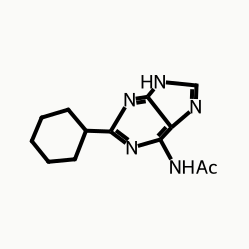 CC(=O)Nc1nc(C2CCCCC2)nc2[nH]cnc12